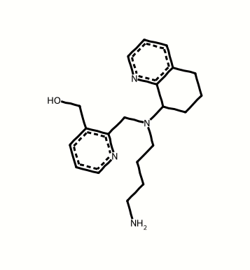 NCCCCN(Cc1ncccc1CO)C1CCCc2cccnc21